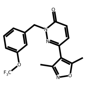 Cc1noc(C)c1-c1ccc(=O)n(Cc2cccc(OC(F)(F)F)c2)n1